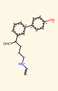 C=CNCCCC(C=O)c1cccc(-c2ccc(O)cc2)c1